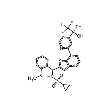 CSc1ccccc1C(NS(=O)(=O)C1CC1)c1cc2cccc(-c3cc([C@](C)(O)C(F)(F)F)ccn3)c2s1